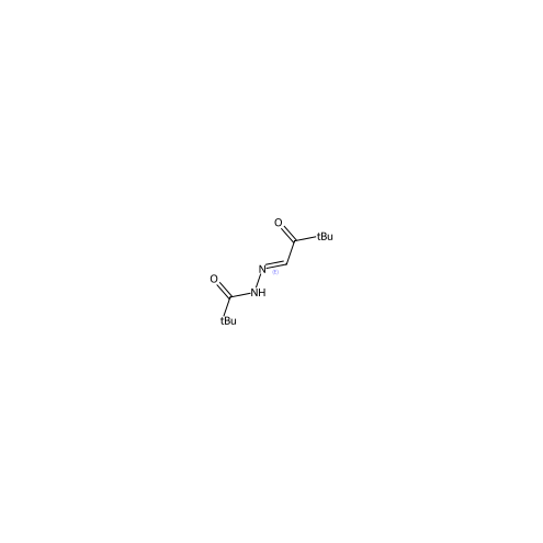 CC(C)(C)C(=O)/C=N/NC(=O)C(C)(C)C